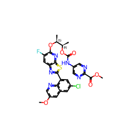 COC(=O)c1ncc(NC(=O)O[C@H](C)[C@H](C)Oc2nc3sc(-c4cc(Cl)cc5cc(OC)cnc45)nc3cc2F)cn1